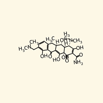 C[C@H]1c2ccc(CN(C)C)c(O)c2C(=O)C2=C(O)[C@]3(O)C(=O)C(C(N)=O)=C(O)[C@@H](N(C)C)[C@@H]3[C@@H](O)[C@@H]21